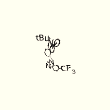 CC(C)(C)CN1CC2(CCCC(Cn3cnc4ccc(C(F)(F)F)cc43)C2)OC1=O